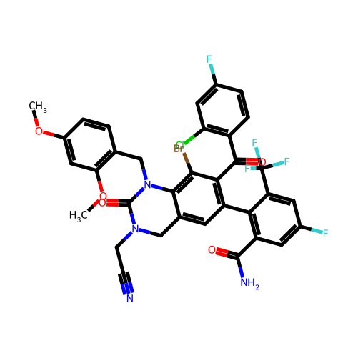 COc1ccc(CN2C(=O)N(CC#N)Cc3cc(-c4c(C(N)=O)cc(F)cc4C(F)(F)F)c(C(=O)c4ccc(F)cc4Cl)c(Br)c32)c(OC)c1